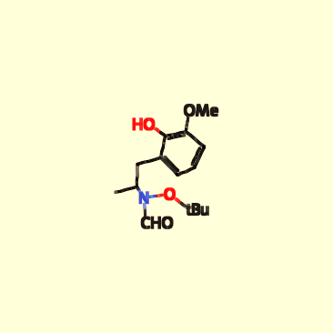 COc1cccc(CC(C)N(C=O)OC(C)(C)C)c1O